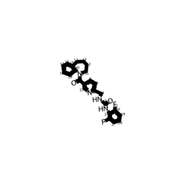 O=C(NCc1ccc(C(=O)N2CCCCc3ccccc32)cn1)Nc1c(F)cccc1F